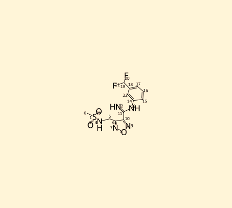 CS(=O)(=O)NCc1nonc1C(=N)Nc1cccc(C(F)F)c1